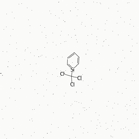 ClC(Cl)(Cl)[si]1ccccc1